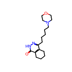 O=c1[nH]nc(CCCCCN2CCOCC2)c2c1CCCC2